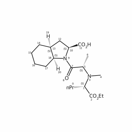 CCC[C@@H](C(=O)OCC)N(C)[C@@H](C)C(=O)N1[C@H](C(=O)O)C[C@@H]2CCCC[C@@H]21